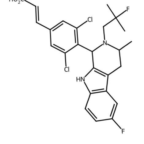 CC1Cc2c([nH]c3ccc(F)cc23)C(c2c(Cl)cc(/C=C/C(=O)O)cc2Cl)N1CC(C)(C)F